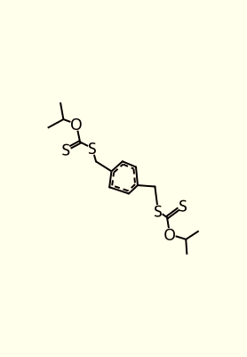 CC(C)OC(=S)SCc1ccc(CSC(=S)OC(C)C)cc1